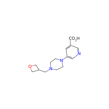 O=C(O)c1cncc(N2CCN(CC3COC3)CC2)c1